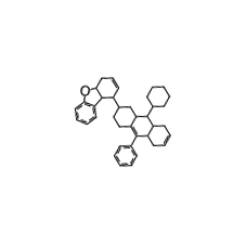 C1=CC(C2CCC3=C(c4ccccc4)C4CC=CCC4C(C4CCCCC4)C3C2)C2c3ccccc3OC2C1